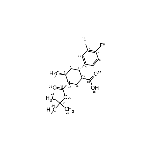 C[C@H]1C[C@H](c2ccc(F)c(F)c2)[C@@H](C(=O)O)CN1C(=O)OC(C)(C)C